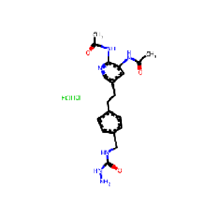 CC(=O)Nc1cc(CCc2ccc(CNC(=O)NN)cc2)cnc1NC(C)=O.Cl.Cl